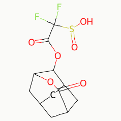 O=C1OC2CC3CC1CC(C3)C2OC(=O)C(F)(F)S(=O)O